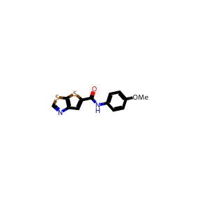 COc1ccc(NC(=O)c2cc3ncsc3s2)cc1